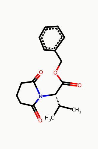 CC(C)[C@@H](C(=O)OCc1ccccc1)N1C(=O)CCCC1=O